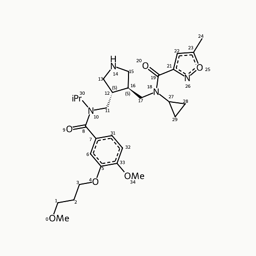 COCCCOc1cc(C(=O)N(C[C@@H]2CNC[C@H]2CN(C(=O)c2cc(C)on2)C2CC2)C(C)C)ccc1OC